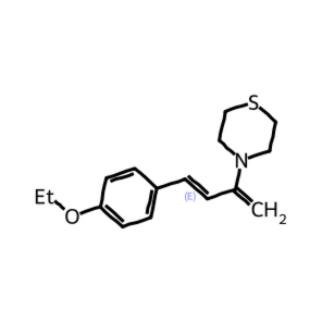 C=C(/C=C/c1ccc(OCC)cc1)N1CCSCC1